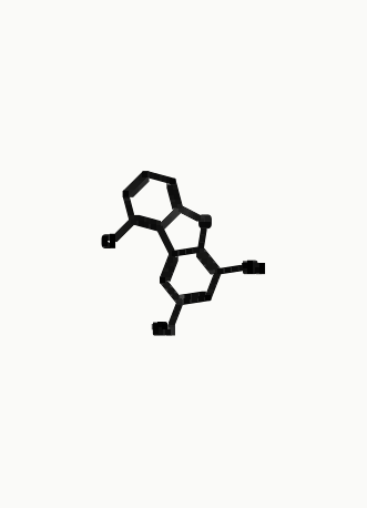 CC(C)(C)c1cc(C(C)(C)C)c2oc3cccc(Cl)c3c2c1